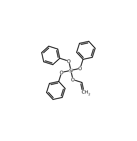 C=CO[Si](Oc1ccccc1)(Oc1ccccc1)Oc1ccccc1